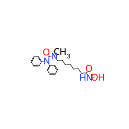 CN(CCCCCCCC(=O)NO)C(=O)N(c1ccccc1)c1ccccc1